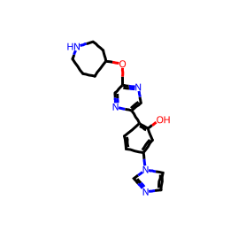 Oc1cc(-n2ccnc2)ccc1-c1cnc(OC2CCCNCC2)cn1